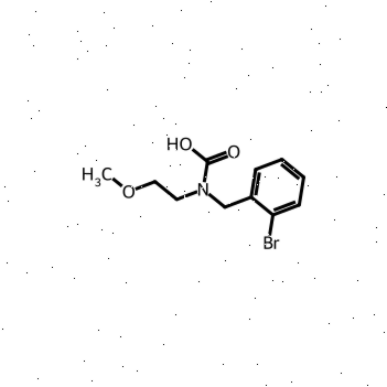 COCCN(Cc1ccccc1Br)C(=O)O